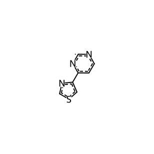 [c]1nccc(-c2cscn2)n1